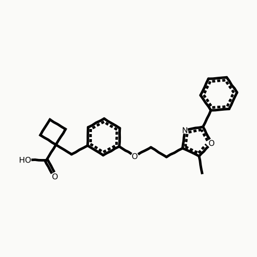 Cc1oc(-c2ccccc2)nc1CCOc1cccc(CC2(C(=O)O)CCC2)c1